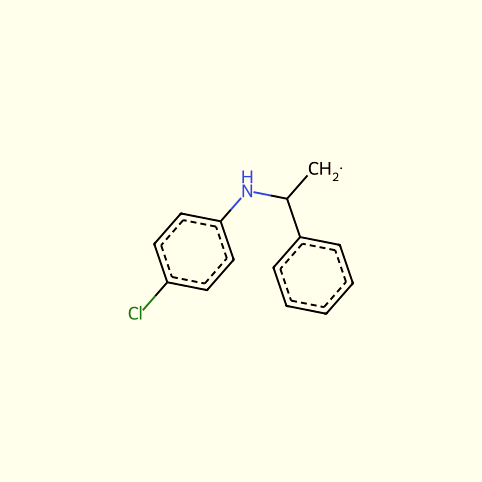 [CH2]C(Nc1ccc(Cl)cc1)c1ccccc1